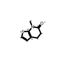 CN1C(=O)CCc2ccsc21